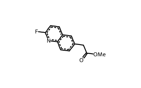 COC(=O)Cc1ccc2nc(F)ccc2c1